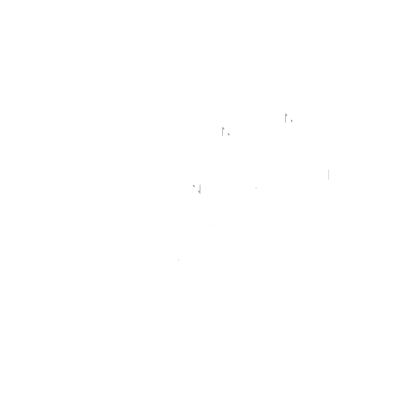 CC(C)C1CCN(c2cc(Cl)ncn2)CC1